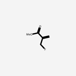 C=C(CF)C(=O)OC